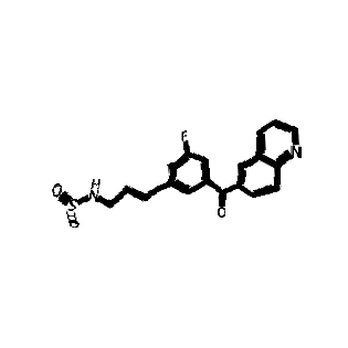 O=C(c1cc(F)cc(CCCN[SH](=O)=O)c1)c1ccc2ncccc2c1